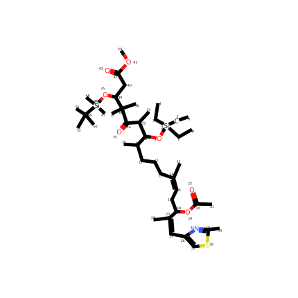 CC[Si](CC)(CC)OC(C(C)CCCC(C)=CCC(OC(C)=O)C(C)=Cc1csc(C)n1)C(C)C(=O)C(C)(C)C(CC(=O)OC)O[Si](C)(C)C(C)(C)C